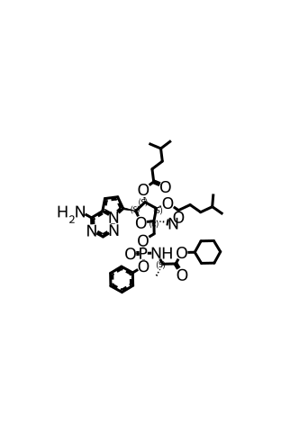 CC(C)CCC(=O)O[C@H]1[C@H](c2ccc3c(N)ncnn23)O[C@](C#N)(COP(=O)(N[C@@H](C)C(=O)OC2CCCCC2)Oc2ccccc2)[C@H]1OC(=O)CCC(C)C